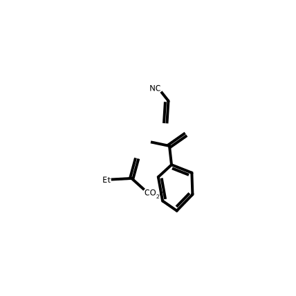 C=C(C)c1ccccc1.C=C(CC)C(=O)O.C=CC#N